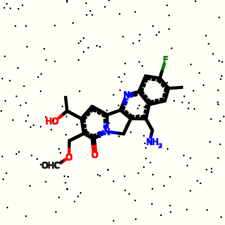 Cc1cc2c(CN)c3c(nc2cc1F)-c1cc(C(C)O)c(COC=O)c(=O)n1C3